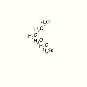 O.O.O.O.O.[SeH2]